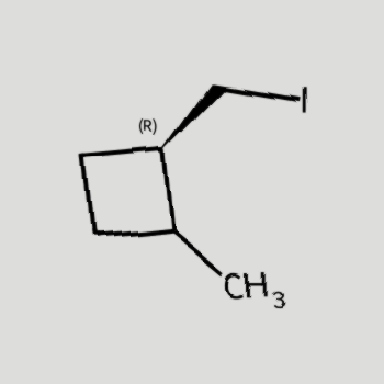 CC1CC[C@H]1CI